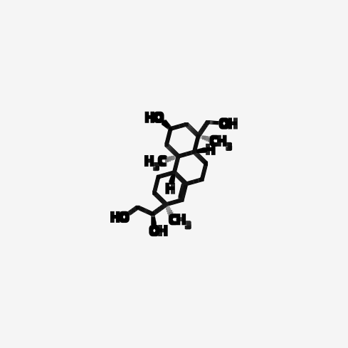 C[C@@]1(CO)C[C@H](O)C[C@]2(C)[C@H]3CC[C@](C)([C@@H](O)CO)C=C3CC[C@@H]12